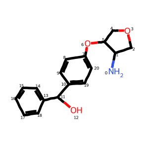 NC1COCC1Oc1ccc(C(O)c2ccccc2)cc1